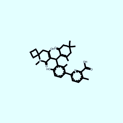 CC1=C(C(C2=C(O)CC3(CCC3)N(C)C2=O)c2c(O)ccc(-c3ccc(C)c(C(=O)O)n3)c2C)C(=O)CC(C)(C)C1